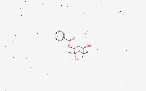 O=C(O[C@H]1C[C@@H](O)[C@@H]2CO[C@@H]1O2)c1ccccc1